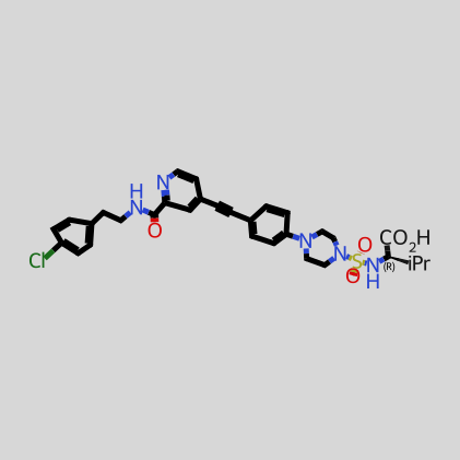 CC(C)[C@@H](NS(=O)(=O)N1CCN(c2ccc(C#Cc3ccnc(C(=O)NCCc4ccc(Cl)cc4)c3)cc2)CC1)C(=O)O